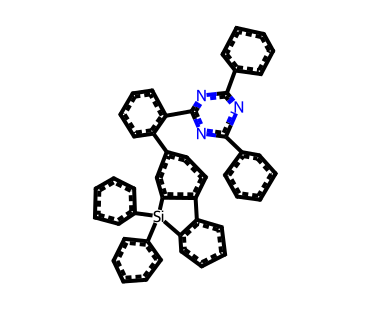 c1ccc(-c2nc(-c3ccccc3)nc(-c3ccccc3-c3ccc4c(c3)[Si](c3ccccc3)(c3ccccc3)c3ccccc3-4)n2)cc1